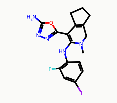 CN1CC2=C(CCC2)C(c2nnc(N)o2)=C1Nc1ccc(I)cc1F